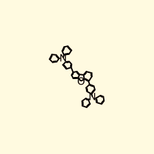 c1ccc(N(c2ccccc2)c2ccc(-c3ccc4oc5c(-c6ccc(N(c7ccccc7)c7ccccc7)cc6)cccc5c4c3)cc2)cc1